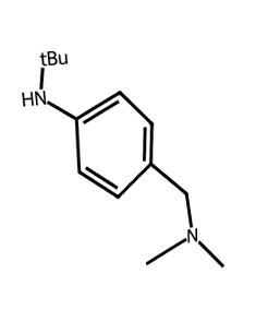 CN(C)Cc1ccc(NC(C)(C)C)cc1